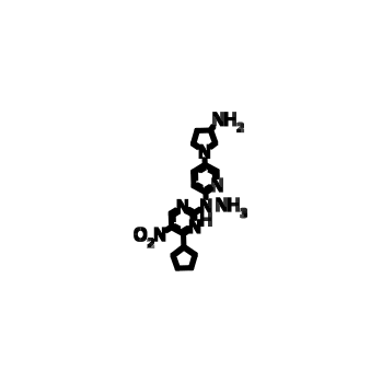 N.NC1CCN(c2ccc(Nc3ncc([N+](=O)[O-])c(C4CCCC4)n3)nc2)C1